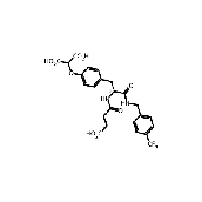 O=C(O)CCC(=O)N[C@@H](Cc1ccc(OC(C(=O)O)C(=O)O)cc1)C(=O)NCc1ccc(C(F)(F)F)cc1